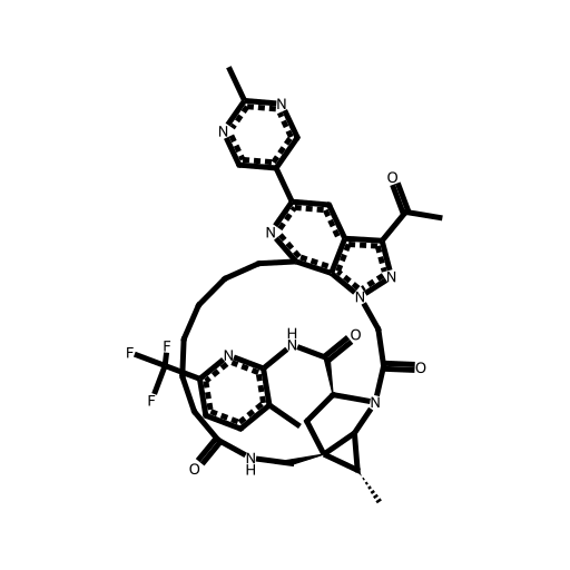 CC(=O)c1nn2c3c(nc(-c4cnc(C)nc4)cc13)CCCCCCC(=O)NC[C@@]13C[C@@H](C(=O)Nc4nc(C(F)(F)F)ccc4C)N(C(=O)C2)C1[C@@H]3C